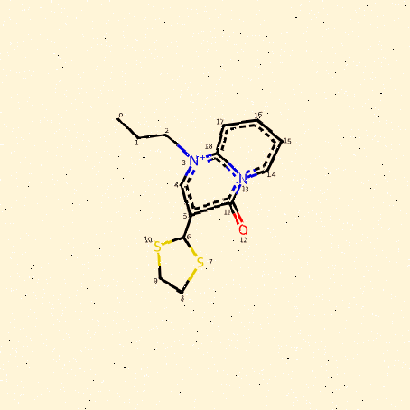 CCC[n+]1cc(C2SCCS2)c(=O)n2ccccc21